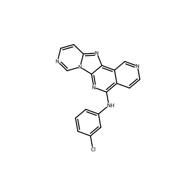 Clc1cccc(Nc2nc3c(nc4ccncn43)c3cnccc23)c1